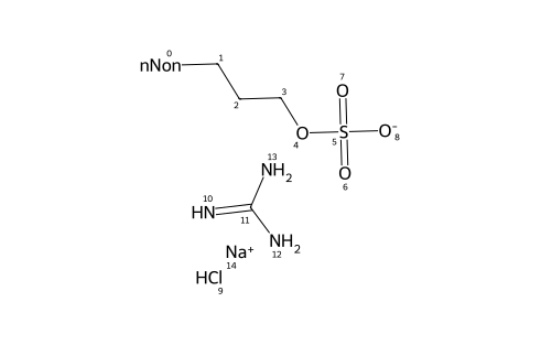 CCCCCCCCCCCCOS(=O)(=O)[O-].Cl.N=C(N)N.[Na+]